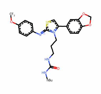 CCCCNC(=O)NCCCn1c(-c2ccc3c(c2)OCO3)cs/c1=N\c1ccc(OC(F)(F)F)cc1